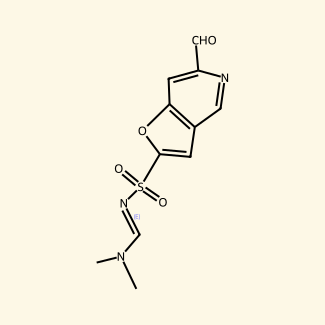 CN(C)/C=N/S(=O)(=O)c1cc2cnc(C=O)cc2o1